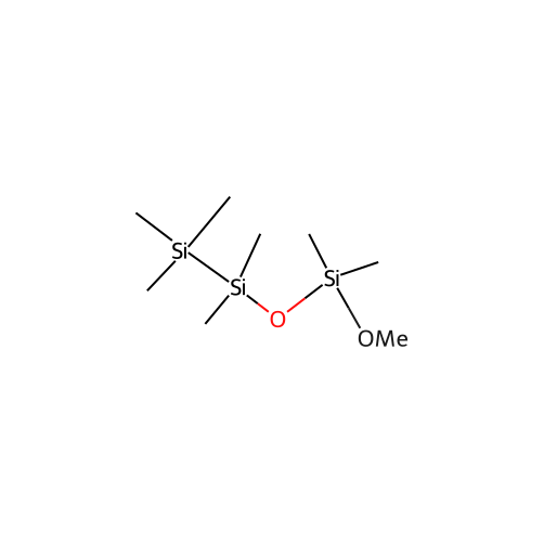 CO[Si](C)(C)O[Si](C)(C)[Si](C)(C)C